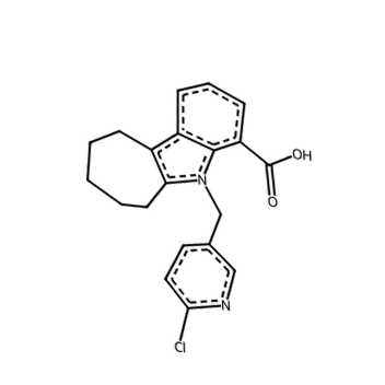 O=C(O)c1cccc2c3c(n(Cc4ccc(Cl)nc4)c12)CCCCC3